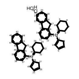 C1=CC[C]([Hf](=[C]2CCCCC2)[c]2cccc3c2Cc2ccccc2-3)=C1.C1=CC[C]([Hf](=[C]2CCCCC2)[c]2cccc3c2Cc2ccccc2-3)=C1.Cl.Cl